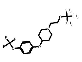 CC(C)(C)OCCN1CCC(Oc2ccc(OC(F)(F)F)cc2)CC1